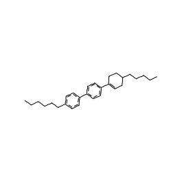 CCCCCCc1ccc(-c2ccc(C3=CCC(CCCCC)CC3)cc2)cc1